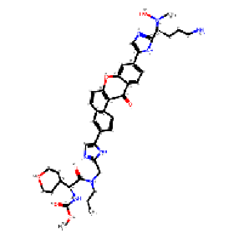 CCCN(Cc1ncc(-c2ccc3c(ccc4oc5cc(-c6cnc([C@H](CCCN)N(C)O)[nH]6)ccc5c(=O)c43)c2)[nH]1)C(=O)[C@@H](NC(=O)OC)C1CCOCC1